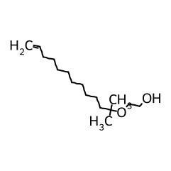 C=CCCCCCCCCCC(C)(C)OCCO